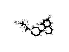 CC(C)(C)OC(=O)N1CCCC(N2CCCc3cc(Cl)cc(Br)c32)CC1